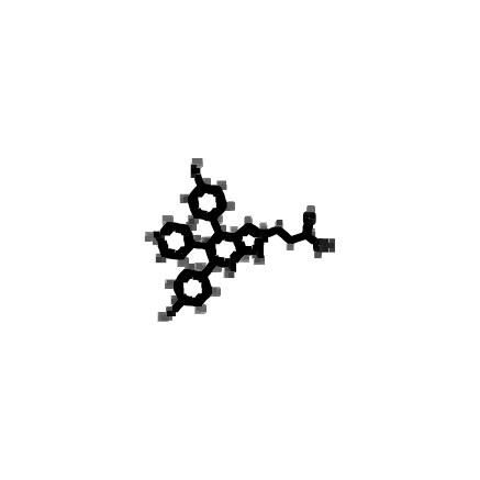 O=C(O)CCn1cc2c(-c3ccc(F)cc3)c(-c3ccncc3)c(-c3ccc(F)cc3)nc2n1